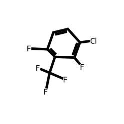 Fc1ccc(Cl)c(F)c1C(F)(F)F